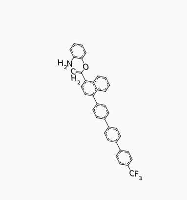 C=C(Oc1ccccc1N)c1ccc(-c2ccc(-c3ccc(-c4ccc(C(F)(F)F)cc4)cc3)cc2)c2ccccc12